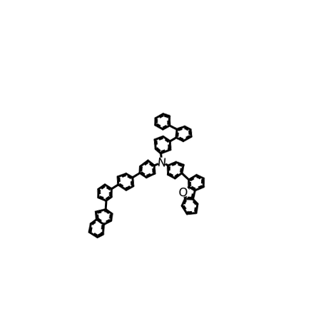 c1ccc(-c2ccccc2-c2cccc(N(c3ccc(-c4ccc(-c5cccc(-c6ccc7ccccc7c6)c5)cc4)cc3)c3ccc(-c4cccc5c4oc4ccccc45)cc3)c2)cc1